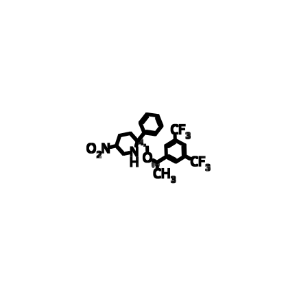 C[C@@H](OC[C@@]1(c2ccccc2)CCC([N+](=O)[O-])CN1)c1cc(C(F)(F)F)cc(C(F)(F)F)c1